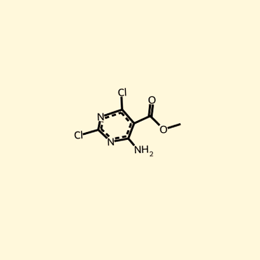 COC(=O)c1c(N)nc(Cl)nc1Cl